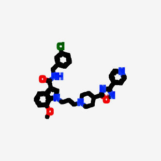 COc1cccc2c(C(=O)NCc3cccc(Cl)c3)cn(CCCN3CCC(c4nc(-c5ccncc5)no4)CC3)c12